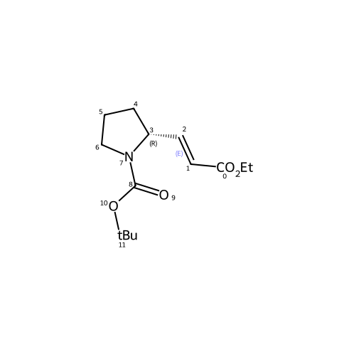 CCOC(=O)/C=C/[C@H]1CCCN1C(=O)OC(C)(C)C